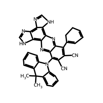 CC1(C)c2ccccc2N(c2c(C#N)c(C#N)c(C3=CC=CCC3)c3nc4c(nc23)c2[nH]cnc2c2nc[nH]c24)c2ccccc21